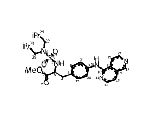 COC(=O)[C@H](Cc1ccc(Nc2nccc3cnccc23)cc1)NS(=O)(=O)N(CC(C)C)CC(C)C